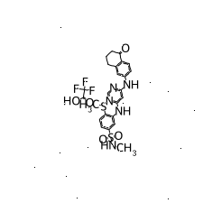 CNS(=O)(=O)c1ccc(SC)c(Nc2cc(Nc3ccc4c(c3)CCCC4=O)ncn2)c1.O=C(O)C(F)(F)F